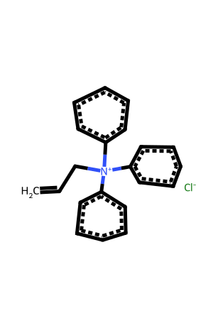 C=CC[N+](c1ccccc1)(c1ccccc1)c1ccccc1.[Cl-]